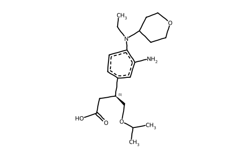 CCN(c1ccc([C@@H](COC(C)C)CC(=O)O)cc1N)C1CCOCC1